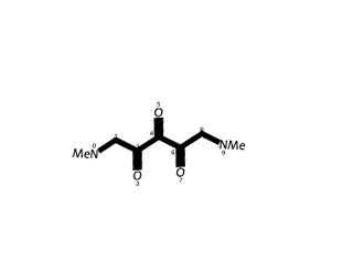 CNCC(=O)C(=O)C(=O)CNC